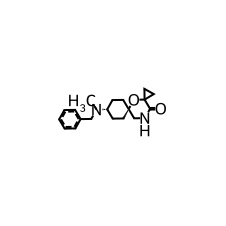 CN(Cc1ccccc1)[C@H]1CC[C@]2(CC1)CNC(=O)C1(CC1)O2